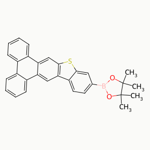 CC1(C)OB(c2ccc3c(c2)sc2cc4c5ccccc5c5ccccc5c4cc23)OC1(C)C